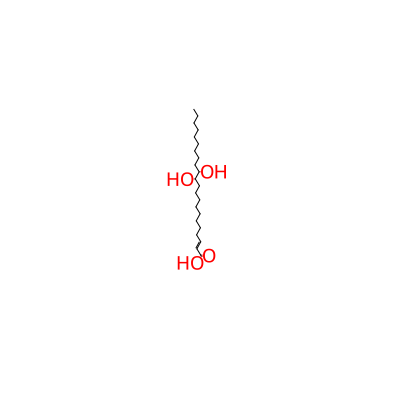 CCCCCCCCCC(O)C(O)CCCCCCCCC=CC(=O)O